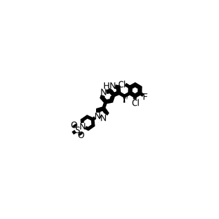 C[C@H](c1c(Cl)ccc(F)c1Cl)c1c[nH]c2ncc(-c3cnn(C4CCN(S(C)(=O)=O)CC4)c3)cc12